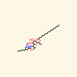 CCCCCCCCCCCCCCCC(=O)OC1C(CCC)OC(C(NC(=O)C2CC(CCCCC)CN2)C(C)C)C(O)C1O